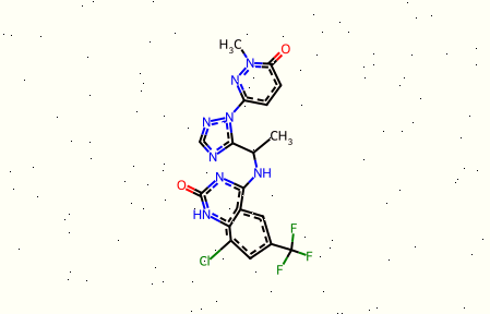 CC(Nc1nc(=O)[nH]c2c(Cl)cc(C(F)(F)F)cc12)c1ncnn1-c1ccc(=O)n(C)n1